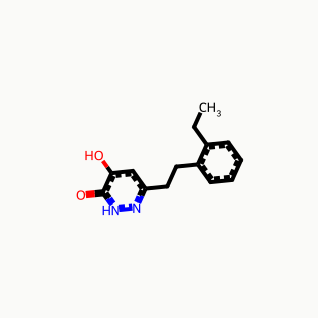 CCc1ccccc1CCc1cc(O)c(=O)[nH]n1